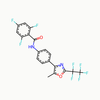 Cc1oc(C(F)(F)C(F)(F)F)nc1-c1ccc(NC(=O)c2c(F)cc(F)cc2F)cc1